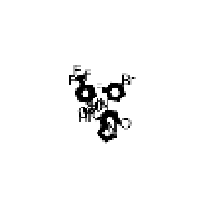 O=c1cc(Nc2ccc(Br)cc2F)c(NS(=O)(=O)c2ccc(C(F)(F)F)cc2)c2n1CCC2